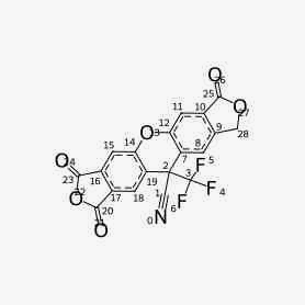 N#CC1(C(F)(F)F)c2cc3c(cc2Oc2cc4c(cc21)C(=O)OC4=O)C(=O)OC3